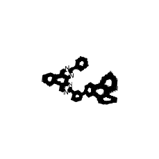 c1ccc(-c2ncc3c4ccccc4c4cnc(-c5cccc(-c6ccc7c8ccccc8c8ccccc8c7c6)c5)nc4c3n2)cc1